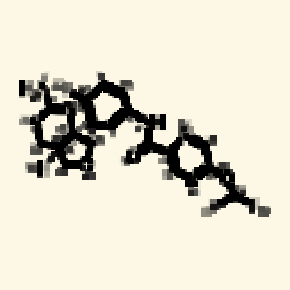 NC1=N[C@@]2(c3cc(NC(=O)c4cnc(OC(F)F)cn4)ccc3F)COC[C@H]2CS1